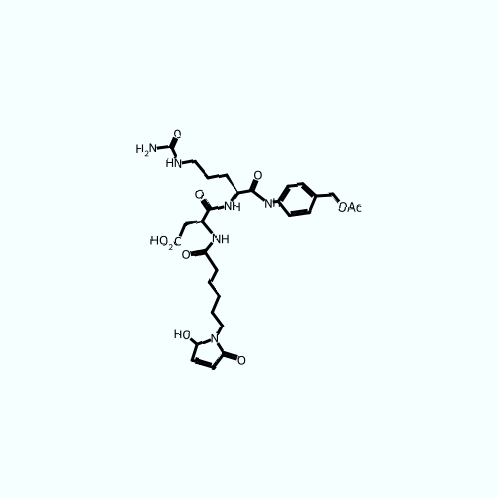 CC(=O)OCc1ccc(NC(=O)[C@H](CCCNC(N)=O)NC(=O)[C@H](CC(=O)O)NC(=O)CCCCCN2C(=O)C=CC2O)cc1